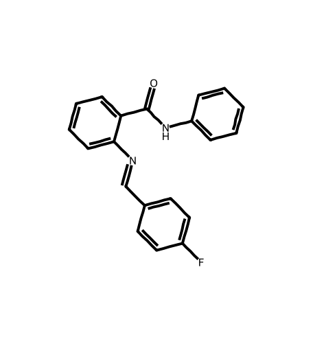 O=C(Nc1ccccc1)c1ccccc1N=Cc1ccc(F)cc1